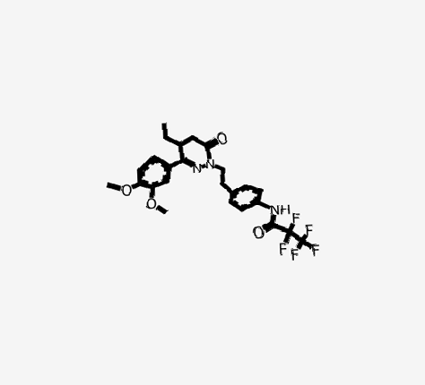 CCC1CC(=O)N(CCc2ccc(NC(=O)C(F)(F)C(F)(F)F)cc2)N=C1c1ccc(OC)c(OC)c1